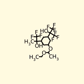 CCOC(C)OC1CC(C(C)(O)C(F)(F)F)CC(C(O)(C(F)(F)F)C(F)(F)F)C1